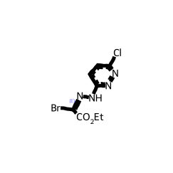 CCOC(=O)/C(Br)=N\Nc1ccc(Cl)nn1